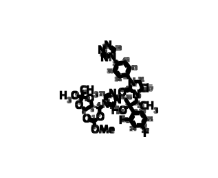 COC(=O)OC([C@@H]1COC(C)(C)O1)n1cn[n+](C[C@](O)(c2ccc(F)cc2F)[C@@H](C)N2CCN(c3ccc(-n4cnnn4)cc3)C2=O)c1.[Cl-]